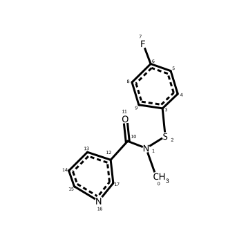 CN(Sc1ccc(F)cc1)C(=O)c1cccnc1